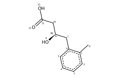 Cc1ccccc1C[C@@H](O)CC(=O)O